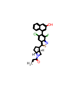 C=CC(=O)N1C[C@@H]2C(c3snc4c(F)c(-c5cc(O)cc6ccccc56)c(Cl)cc34)CC[C@@H]21